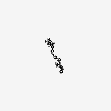 Nc1ncnc2c1c(-c1ccc(Oc3ccccc3)cc1)nn2[C@@H]1CCCN(C2CCN(CCCN3CCC(c4ccc5c(c4)C(=O)N(C4CCC(=O)NC4=O)C5=O)CC3)CC2)C1